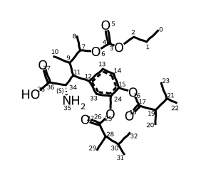 CCCOC(=O)OC(C)C(C)C(c1ccc(OC(=O)C(C)C(C)C)c(OC(=O)C(C)C(C)C)c1)[C@H](N)C(=O)O